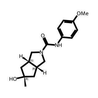 COc1ccc(NC(=O)N2C[C@@H]3C[C@](C)(O)C[C@@H]3C2)cc1